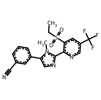 CCS(=O)(=O)c1cc(C(F)(F)F)cnc1-c1ncc(-c2cccc(C#N)c2)n1C